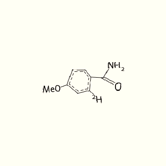 [2H]c1cc(OC)ccc1C(N)=O